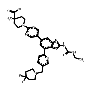 CCNC(=O)Nc1nc2cc(-c3cnc(N4CCC(C)(C(=O)O)CC4)nc3)cc(-c3ccc(CN4CCC(F)(F)CC4)cn3)c2s1